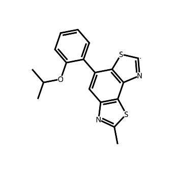 Cc1nc2cc(-c3ccccc3OC(C)C)c3s[c]nc3c2s1